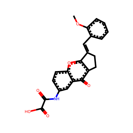 COc1ccccc1C=C1CCc2c1oc1ccc(NC(=O)C(=O)O)cc1c2=O